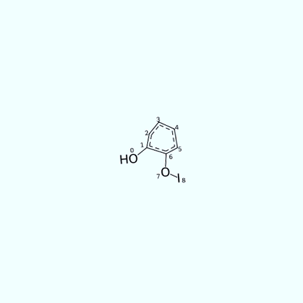 Oc1ccccc1OI